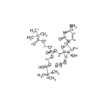 CC(C)(C)C(=O)OCOP(=O)(OCOC(O)C(C)(C)C)OC[C@@]12O[C@@H](n3ccc(N)nc3=O)[C@H](F)[C@@]1(O)C2N=[N+]=[N-]